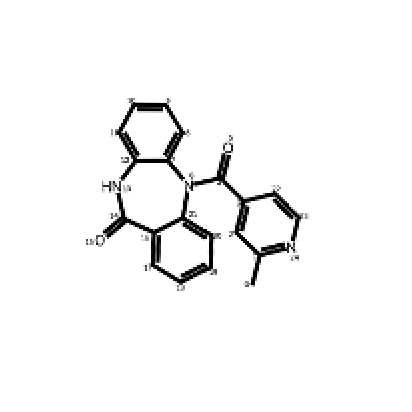 Cc1cc(C(=O)N2c3ccccc3NC(=O)c3ccccc32)ccn1